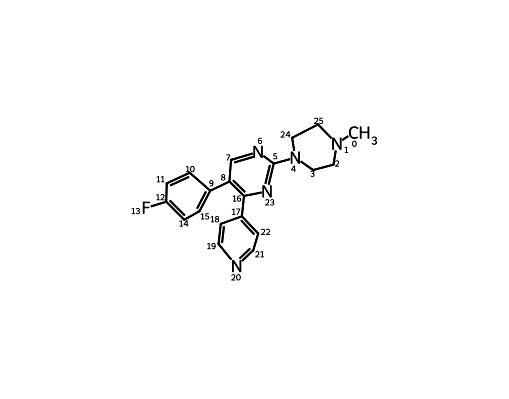 CN1CCN(c2ncc(-c3ccc(F)cc3)c(-c3ccncc3)n2)CC1